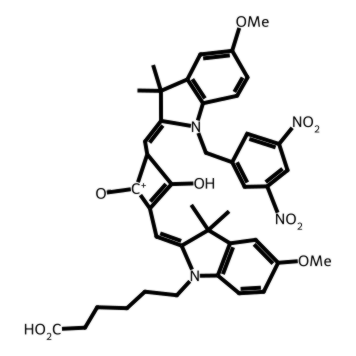 COc1ccc2c(c1)C(C)(C)C(=CC1=C(O)C(C=C3N(Cc4cc([N+](=O)[O-])cc([N+](=O)[O-])c4)c4ccc(OC)cc4C3(C)C)[C+]1[O-])N2CCCCCC(=O)O